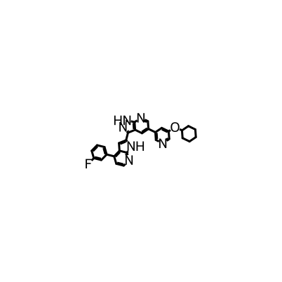 Fc1cccc(-c2ccnc3[nH]c(-c4n[nH]c5ncc(-c6cncc(OC7CCCCC7)c6)cc45)cc23)c1